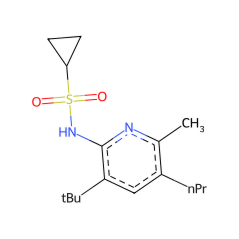 CCCc1cc(C(C)(C)C)c(NS(=O)(=O)C2CC2)nc1C